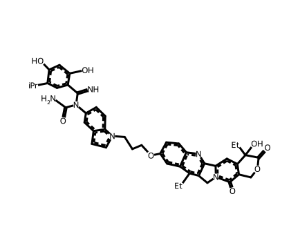 CCc1c2c(nc3ccc(OCCCn4ccc5cc(N(C(=N)c6cc(C(C)C)c(O)cc6O)C(N)=O)ccc54)cc13)-c1cc3c(c(=O)n1C2)COC(=O)C3(O)CC